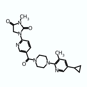 Cc1cc(C2CC2)cnc1N1CCN(C(=O)c2ccc(N3CC(=O)N(C)C3=O)nc2)CC1